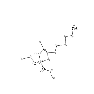 CCO[Si](CCCCCCCO)(OCC)OCC